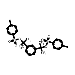 Cc1ccc(S(=O)(=O)OC(c2cccc(C(OS(=O)(=O)c3ccc(C)cc3)(C(F)(F)F)C(F)(F)F)c2)(C(F)(F)F)C(F)(F)F)cc1